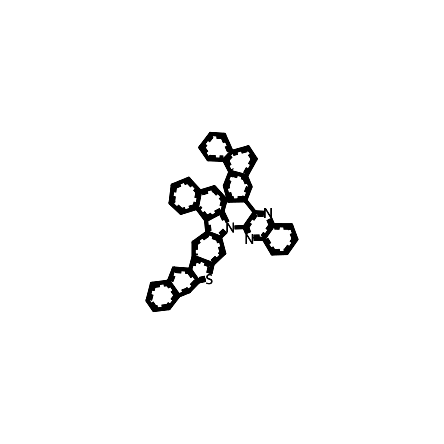 c1ccc2cc3c(cc2c1)sc1cc2c(cc13)c1c3ccccc3ccc1n2-c1nc2ccccc2nc1-c1ccc2c(ccc3ccccc32)c1